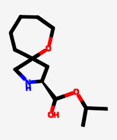 CC(C)OC(O)[C@@H]1CC2(CCCCCO2)CN1